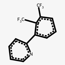 FC(F)(F)c1cccc(-c2ccccn2)c1C(F)(F)F